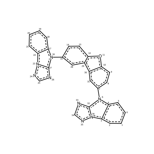 c1ccc2c(c1)n(-c1ccc3oc4ccc(-n5c6ccccc6n6ncnc56)cc4c3c1)c1ncnn21